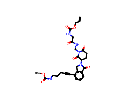 C=CCOC(=O)NCC(=O)NCN1C(=O)CCC(N2Cc3c(C#CCCCNC(=O)OC(C)(C)C)cccc3C2=O)C1=O